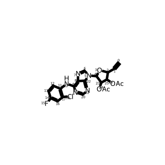 C#CC1OC(n2cnc3c(Nc4ccc(F)cc4Cl)ncnc32)C(OC(C)=O)C1OC(C)=O